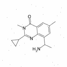 Cc1cc(C(C)N)c2nc(C3CC3)n(C)c(=O)c2c1